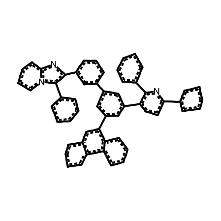 c1ccc(-c2ccc(-c3cc(-c4cccc(-c5nc6ccccn6c5-c5ccccc5)c4)cc(-c4cc5ccccc5c5ccccc45)c3)c(-c3ccccc3)n2)cc1